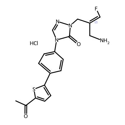 CC(=O)c1ccc(-c2ccc(-n3cnn(C/C(=C\F)CN)c3=O)cc2)s1.Cl